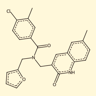 Cc1ccc2[nH]c(=O)c(CN(Cc3ccco3)C(=O)c3ccc(Cl)c(C)c3)cc2c1